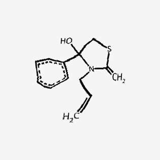 C=CCN1C(=C)SCC1(O)c1ccccc1